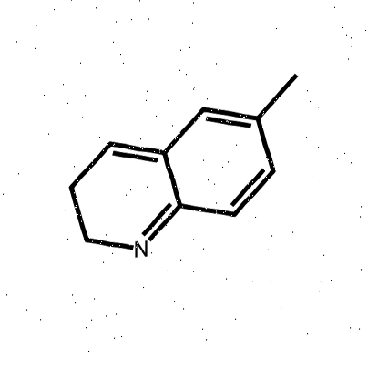 Cc1ccc2c(c1)=CCCN=2